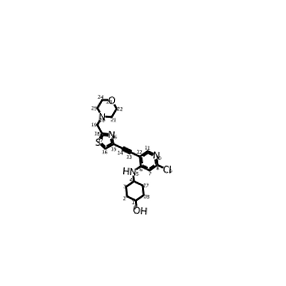 OC1CCC(Nc2cc(Cl)ncc2C#Cc2csc(CN3CCOCC3)n2)CC1